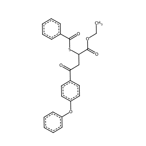 CCOC(=O)C(CC(=O)c1ccc(Oc2ccccc2)cc1)SC(=O)c1ccccc1